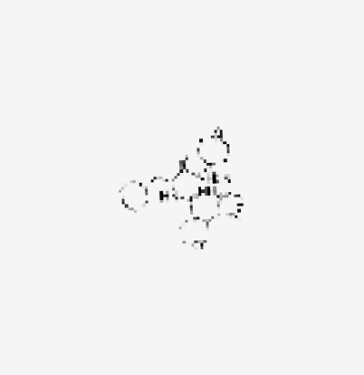 CN1CCC(C#N)(NC(=O)C(CC2CCCCC2)NC(=N)N2CCOCC2c2nccs2)CC1